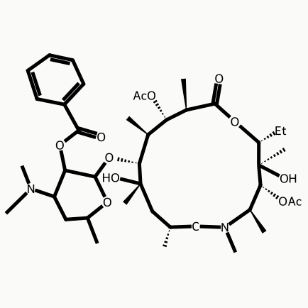 CC[C@H]1OC(=O)[C@H](C)[C@@H](OC(C)=O)[C@H](C)[C@@H](OC2OC(C)CC(N(C)C)C2OC(=O)c2ccccc2)[C@@](C)(O)C[C@@H](C)CN(C)[C@H](C)[C@@H](OC(C)=O)[C@]1(C)O